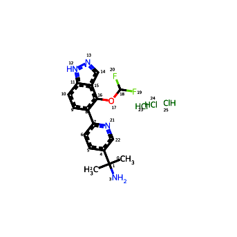 CC(C)(N)c1ccc(-c2ccc3[nH]ncc3c2OC(F)F)nc1.Cl.Cl.Cl